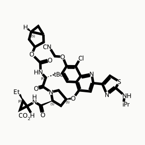 [C-]#[N+]COc1ccc2c(O[C@H]3C[C@@H](C(=O)NC4(C(=O)O)C[C@H]4CC)N(C(=O)[C@H](NC(=O)OC4CC5C[C@H]5C4)C(C)(C)C)C3)cc(-c3csc(NC(C)C)n3)nc2c1Cl